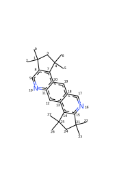 CC1(C)CC(C)(C)c2c1cnc1cc3c4c(ncc3cc21)C(C)(C)CC4(C)C